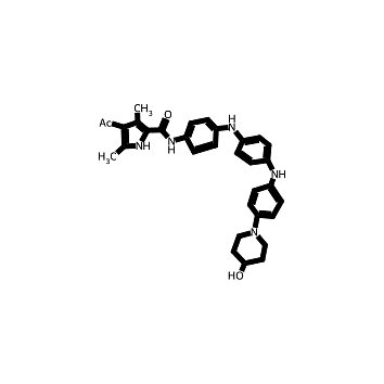 CC(=O)c1c(C)[nH]c(C(=O)Nc2ccc(Nc3ccc(Nc4ccc(N5CCC(O)CC5)cc4)cc3)cc2)c1C